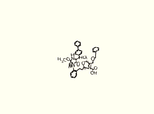 COC(=O)N[C@@H](Cc1ccc(-c2ccccc2)cc1)C(=O)Nc1ccccc1CC[C@@H]1CN(C(=O)O)[C@H](COCc2ccccc2)[C@@H](CO)O1